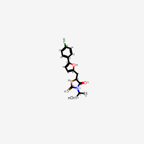 CCCCCCCCC(CC)N1C(=O)C(Cc2ccc(-c3ccc(F)cc3)o2)SC1=S